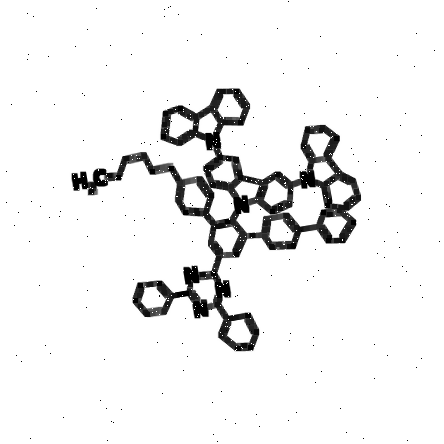 C=C/C=C\C=C\c1ccc(-c2cc(-c3nc(-c4ccccc4)nc(-c4ccccc4)n3)cc(-c3ccc(-c4ccccc4)cc3)c2-n2c3ccc(-n4c5ccccc5c5ccccc54)cc3c3cc(-n4c5ccccc5c5ccccc54)ccc32)cc1